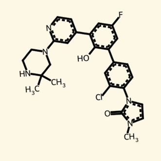 Cn1ccn(-c2ccc(-c3cc(F)cc(-c4ccnc(N5CCNC(C)(C)C5)c4)c3O)cc2Cl)c1=O